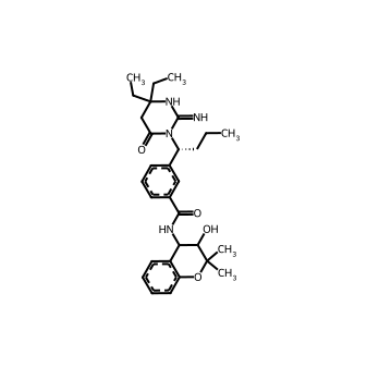 CCC[C@H](c1cccc(C(=O)NC2c3ccccc3OC(C)(C)C2O)c1)N1C(=N)NC(CC)(CC)CC1=O